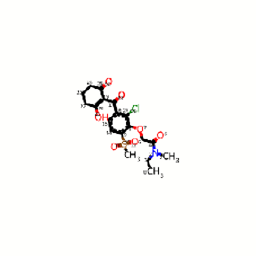 CCN(C)C(=O)COc1c(S(C)(=O)=O)ccc(C(=O)C2=C(O)CCCC2=O)c1Cl